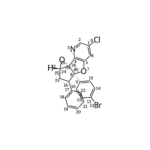 Clc1cnc2c(c1)O[C@@]1(c3ccc(Br)cc3)C(c3ccccc3)C[C@@H]3O[C@@]231